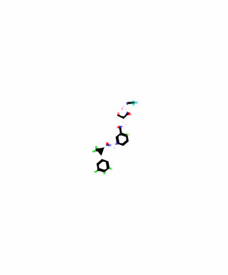 O=C(N[C@@H]1CON(CC(F)(F)F)C1=O)c1cc(NC(=O)[C@H]2[C@H](c3cc(Cl)c(Cl)c(Cl)c3)C2(Cl)Cl)ccc1Cl